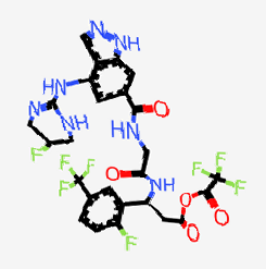 O=C(CNC(=O)c1cc(NC2=NCC(F)CN2)c2cn[nH]c2c1)N[C@@H](CC(=O)OC(=O)C(F)(F)F)c1cc(C(F)(F)F)ccc1F